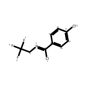 FC(F)(F)CN=C(Cl)c1ccc(Cl)cc1